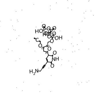 C=C=CO[C@H]1C[C@H](C2C=C(C#CCN)C(=O)NC2=O)O[C@@H]1COP(=O)(O)OP(=O)(O)OP(=O)(O)O